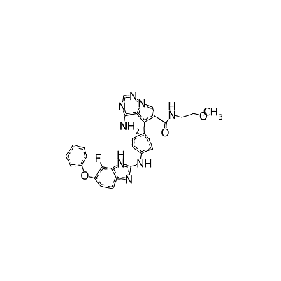 COCCNC(=O)c1cn2ncnc(N)c2c1-c1ccc(Nc2nc3ccc(Oc4ccccc4)c(F)c3[nH]2)cc1